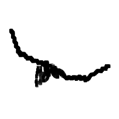 CCCCCCCC/C=C\CCCCCCCCOCC[N+](CCOCCCCCCCC/C=C\CCCCCCCC)C(=O)[C@@H](N)CO